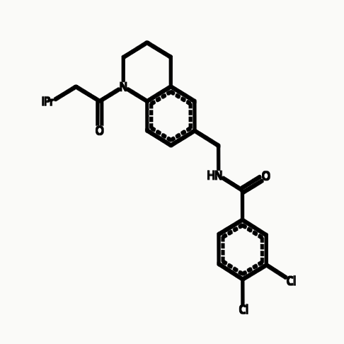 CC(C)CC(=O)N1CCCc2cc(CNC(=O)c3ccc(Cl)c(Cl)c3)ccc21